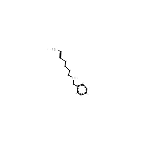 CC(=O)NC=CCCCCNCc1ccccc1